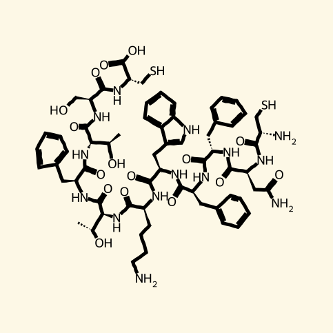 C[C@@H](O)[C@H](NC(=O)[C@H](Cc1ccccc1)NC(=O)[C@@H](NC(=O)[C@H](CCCCN)NC(=O)[C@@H](Cc1c[nH]c2ccccc12)NC(=O)[C@H](Cc1ccccc1)NC(=O)[C@H](Cc1ccccc1)NC(=O)[C@H](CC(N)=O)NC(=O)[C@@H](N)CS)[C@@H](C)O)C(=O)N[C@@H](CO)C(=O)N[C@@H](CS)C(=O)O